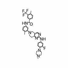 Cc1ccc(NC(=O)c2ccc(C)c(C(F)(F)F)c2)cc1N1CCc2nc(Nc3ccc(N4CCN(C)CC4)c(F)c3)ncc2C1